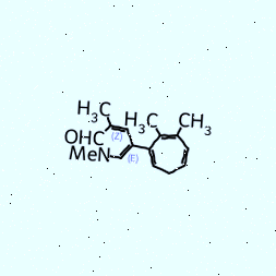 CN/C=C(\C=C(\C)C=O)C1=CCC=CC(C)=C1C